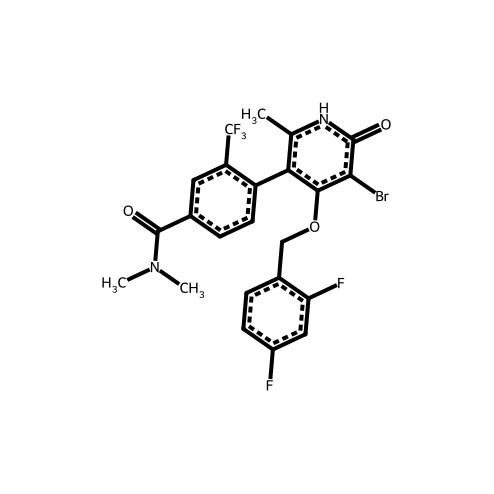 Cc1[nH]c(=O)c(Br)c(OCc2ccc(F)cc2F)c1-c1ccc(C(=O)N(C)C)cc1C(F)(F)F